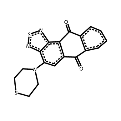 O=C1c2ccccc2C(=O)c2c1cc(N1CCSCC1)c1nsnc21